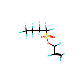 O=S(=O)(O[C](F)C(F)=C(F)F)C(F)(F)C(F)(F)C(F)(F)C(F)(F)F